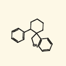 CCC1(c2ccccc2)CCCCC1c1ccccc1